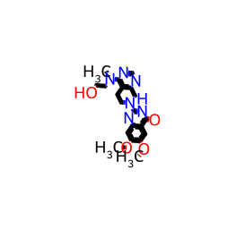 COc1cc2nc(N3CCc4c(ncnc4N(C)CCO)C3)[nH]c(=O)c2cc1OC